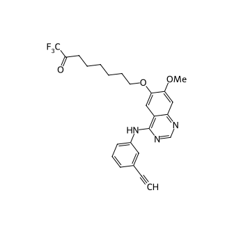 C#Cc1cccc(Nc2ncnc3cc(OC)c(OCCCCCCC(=O)C(F)(F)F)cc23)c1